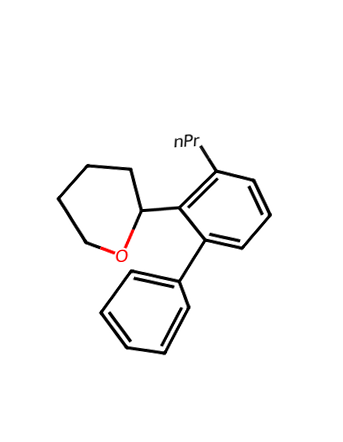 CCCc1cccc(-c2ccccc2)c1C1CCCCO1